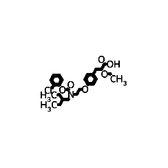 CCOC(Cc1ccc(OCCN(CC(CC)CC)C(=O)Oc2ccccc2Cl)cc1)C(=O)O